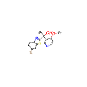 CC(C)Oc1ccncc1C(O)(c1nc2ccc(Br)cc2s1)C(C)C